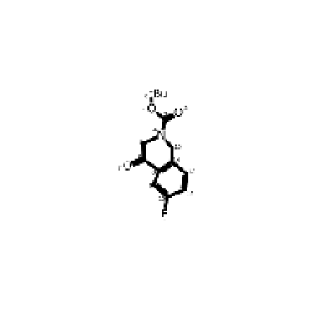 CC(C)(C)OC(=O)N1CC(=O)c2cc(F)ccc2C1